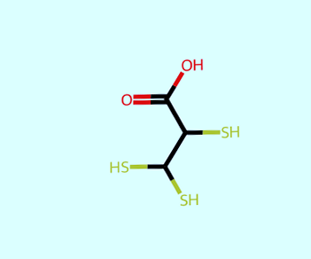 O=C(O)C(S)C(S)S